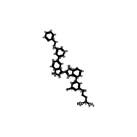 CN(C)CCNc1cc(F)cc(-c2cncc3[nH]c(-c4n[nH]c5cnc(-c6cncc(OCc7ccccc7)c6)cc45)nc23)c1